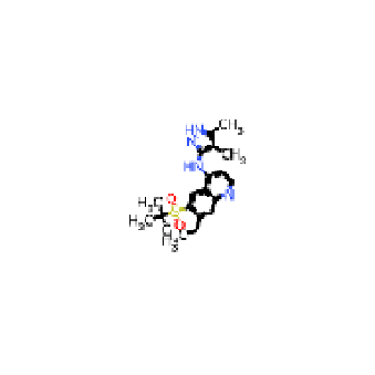 CCc1cc2nccc(Nc3n[nH]c(C)c3C)c2cc1S(=O)(=O)C(C)(C)C